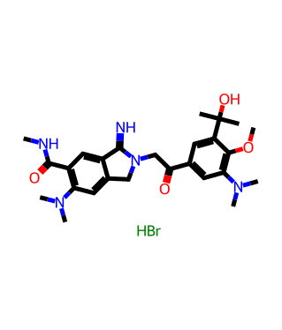 Br.CNC(=O)c1cc2c(cc1N(C)C)CN(CC(=O)c1cc(N(C)C)c(OC)c(C(C)(C)O)c1)C2=N